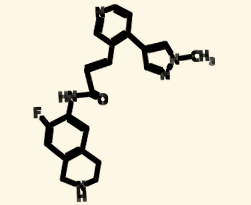 Cn1cc(-c2ccncc2C=CC(=O)Nc2cc3c(cc2F)CNCC3)cn1